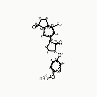 CCCCOc1ccc(O[C@@H]2CCN(c3cc(F)c4c(c3)C(=O)CC4)C2=O)cn1